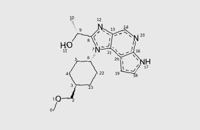 COC[C@H]1CC[C@H](n2c([C@@H](C)O)nc3cnc4[nH]ccc4c32)CC1